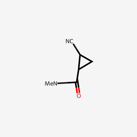 CNC(=O)C1CC1C#N